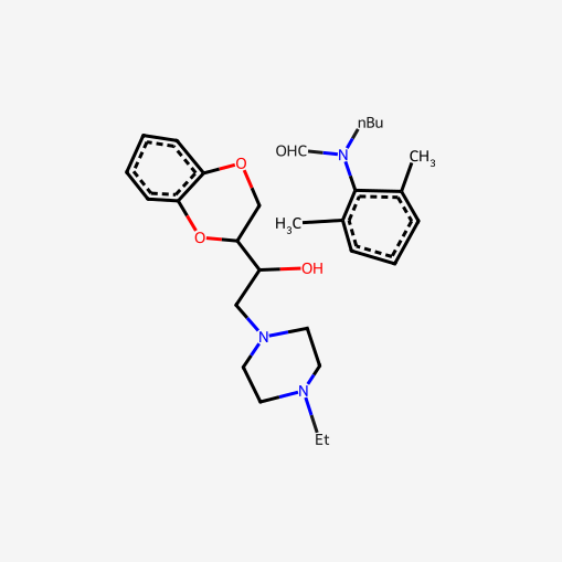 CCCCN(C=O)c1c(C)cccc1C.CCN1CCN(CC(O)C2COc3ccccc3O2)CC1